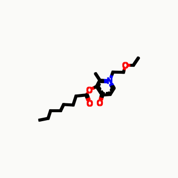 CCCCCCCC(=O)Oc1c(C)n(CCOCC)ccc1=O